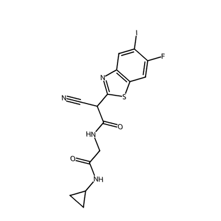 N#CC(C(=O)NCC(=O)NC1CC1)c1nc2cc(I)c(F)cc2s1